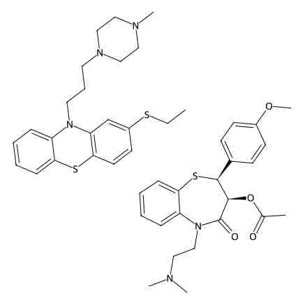 CCSc1ccc2c(c1)N(CCCN1CCN(C)CC1)c1ccccc1S2.COc1ccc([C@@H]2Sc3ccccc3N(CCN(C)C)C(=O)[C@@H]2OC(C)=O)cc1